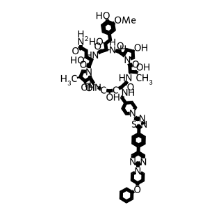 COc1cc(C[C@@H](O)[C@@H]2NC(=O)[C@@H]3C[C@@H](O)CN3C(=O)[C@H]([C@@H](C)O)NC(=O)[C@@H](NCC3CCN(c4nnc(-c5ccc(-c6cnc(N7CCC(OC8CCCCC8)CC7)nc6)cc5)s4)CC3)C[C@@H](O)CNC(=O)[C@@H]3[C@@H](O)[C@@H](C)CN3C(=O)[C@H]([C@H](O)CC(N)=O)NC2=O)ccc1O